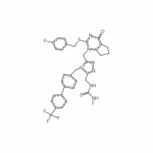 CNC(=S)NCc1nnc(Cn2c(SCc3ccc(F)cc3)nc(=O)c3c2CCC3)n1Cc1ccc(-c2ccc(C(F)(F)F)cc2)cc1